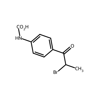 CC(Br)C(=O)c1ccc(NC(=O)O)cc1